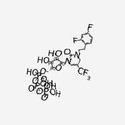 O=C1N(CCc2ccc(F)cc2F)CC(C(F)(F)F)=CN1[C@@H]1O[C@H](COP(=O)(O)OP(=O)(O)OP(=O)(O)O)[C@H](O)[C@@H]1O